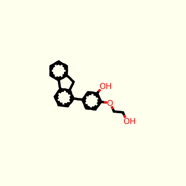 OCCOc1ccc(-c2cccc3c2Cc2ccccc2-3)cc1O